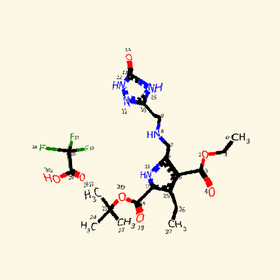 CCOC(=O)c1c(CNCc2n[nH]c(=O)[nH]2)[nH]c(C(=O)OC(C)(C)C)c1CC.O=C(O)C(F)(F)F